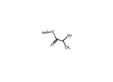 CNOC(=O)C(C)O